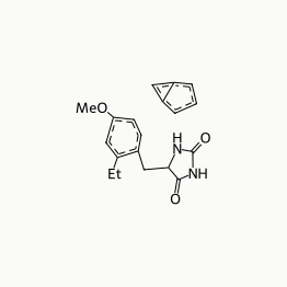 CCc1cc(OC)ccc1CC1NC(=O)NC1=O.c1cc2cc-2c1